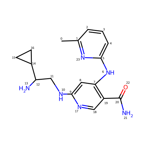 Cc1cccc(Nc2cc(NCC(N)C3CC3)ncc2C(N)=O)n1